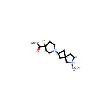 COC(=O)C1(F)CCN(C2CC3(CCN(C(=O)O)C3)C2)CC1